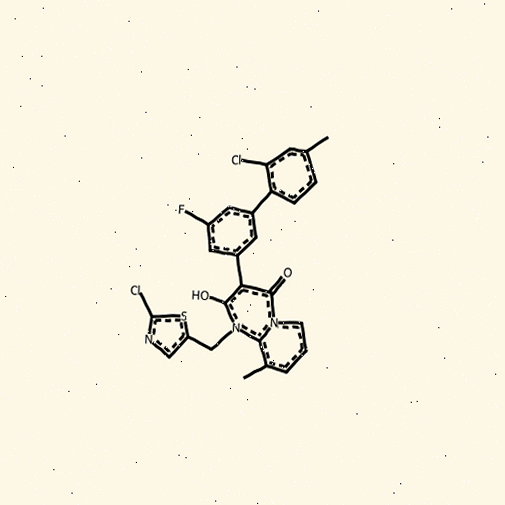 Cc1ccc(-c2cc(F)cc(-c3c(O)[n+](Cc4cnc(Cl)s4)c4c(C)cccn4c3=O)c2)c(Cl)c1